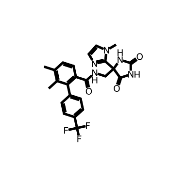 Cc1ccc(C(=O)NCC2(c3nccn3C)NC(=O)NC2=O)c(-c2ccc(C(F)(F)F)cc2)c1C